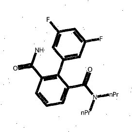 CCCN(CCC)C(=O)c1cccc(C([NH])=O)c1-c1cc(F)cc(F)c1